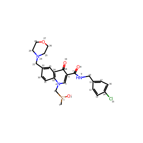 C[S+]([O-])Cn1cc(C(=O)NCc2ccc(Cl)cc2)c(=O)c2cc(CN3CCOCC3)ccc21